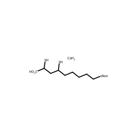 CCCCCCCCCCCCCCC(S)CC(S)C(=O)O.[CaH2]